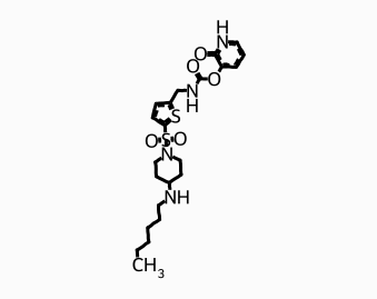 CCCCCCNC1CCN(S(=O)(=O)c2ccc(CNC(=O)Oc3ccc[nH]c3=O)s2)CC1